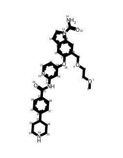 COCCOCc1cc2c(ccn2C(N)=O)cc1Oc1ccnc(NC(=O)c2ccc(C3CCNCC3)cc2)c1